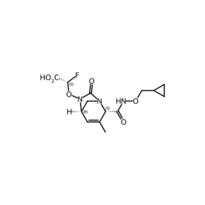 CC1=C[C@@H]2CN(C(=O)N2O[C@@H](F)C(=O)O)[C@@H]1C(=O)NOCC1CC1